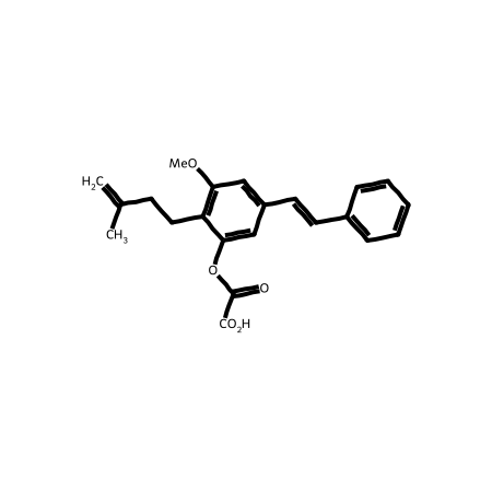 C=C(C)CCc1c(OC)cc(C=Cc2ccccc2)cc1OC(=O)C(=O)O